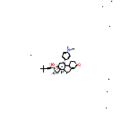 C[C@@H]1C[C@H]2[C@@H]3CCC4=CC(=O)CCC4=C3[C@@H](c3ccc(N(C)C)cc3)C[C@]2(C)[C@]1(O)C#CC(C)(C)C